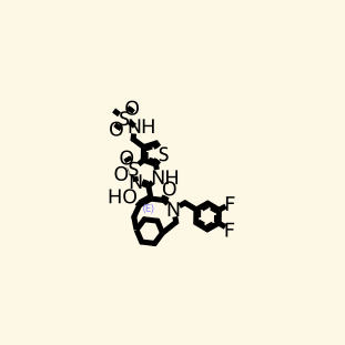 CS(=O)(=O)NCc1csc2c1S(=O)(=O)N=C(/C1=C(\O)CC3CCC(CC3)CN(Cc3ccc(F)c(F)c3)C1=O)N2